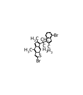 CC1=Cc2c(Br)cccc2C1C(C)(C)C1=C(C)C=C2C1=CC1SC(Br)=CC1=C2C